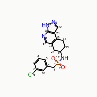 O=S(=O)(Cc1cccc(Cl)c1)NC1CCc2c(cnc3[nH]ncc23)C1